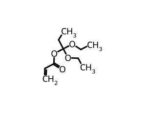 C=CC(=O)OC(CC)(OCC)OCC